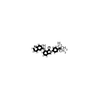 CC(C)(C)c1ccc(N2Cc3cccc(Nc4ccc5ncccc5c4)c3C2=O)cc1